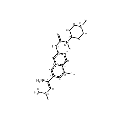 C=C(Nc1cc2cc(/C(N)=C/N(C)N)cc(F)c2cn1)N(C)C1CCN(C)CC1